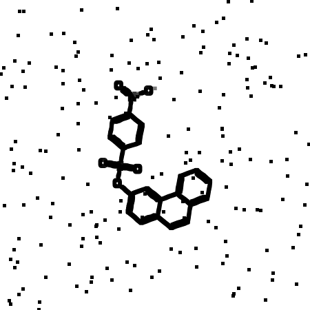 O=[N+]([O-])c1ccc(S(=O)(=O)Oc2ccc3ccc4ccccc4c3c2)cc1